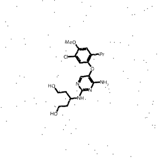 COc1cc(C(C)C)c(Oc2cnc(NC(CCO)CCO)nc2N)cc1Cl